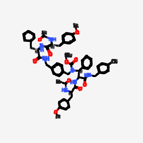 CCOc1ccc(C[C@@H](NC(=O)CC)C(=O)NC(C(=O)NCc2ccc(C#N)cc2)[C@H](c2ccccc2)N(Cc2ccc(CNC(=O)[C@H](Cc3ccccc3)NC(=O)[C@@H](Cc3ccc(OCC)cc3)NC(=O)CC)cc2)C(=O)OC(C)(C)C)cc1